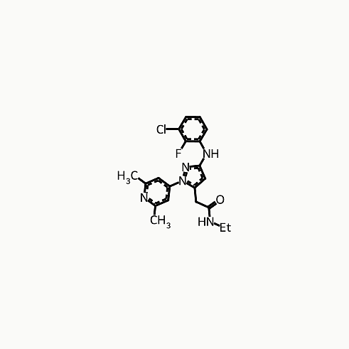 CCNC(=O)Cc1cc(Nc2cccc(Cl)c2F)nn1-c1cc(C)nc(C)c1